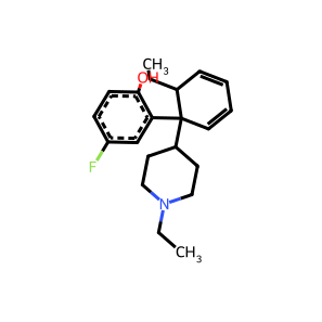 CCC1C=CC=CC1(c1cc(F)ccc1O)C1CCN(CC)CC1